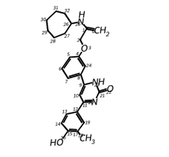 C=C(COc1cccc(-c2cc(-c3ccc(O)c(C)c3)nc(=O)[nH]2)c1)NC1CCCCCC1